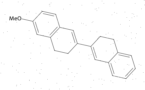 COc1ccc2c(c1)CCC(C1=Cc3ccccc3CC1)=C2